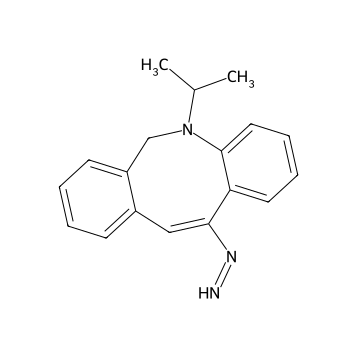 CC(C)N1Cc2ccccc2/C=C(/N=N)c2ccccc21